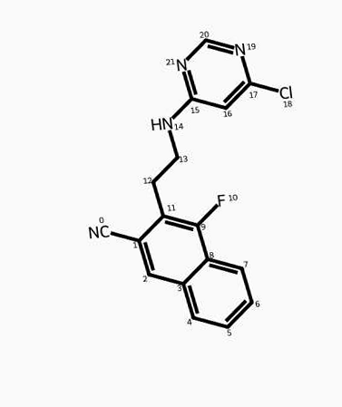 N#Cc1cc2ccccc2c(F)c1CCNc1cc(Cl)ncn1